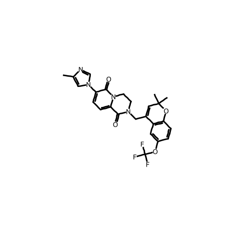 Cc1cn(-c2ccc3n(c2=O)CCN(CC2=CC(C)(C)Oc4ccc(OC(F)(F)F)cc42)C3=O)cn1